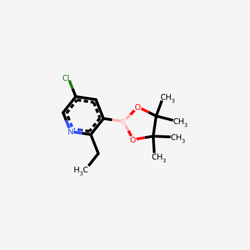 CCc1ncc(Cl)cc1B1OC(C)(C)C(C)(C)O1